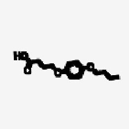 CCCCOc1ccc(OCCCC(=O)O)cc1